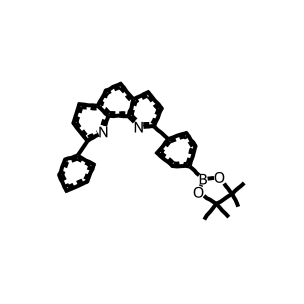 CC1(C)OB(c2ccc(-c3ccc4ccc5ccc(-c6ccccc6)nc5c4n3)cc2)OC1(C)C